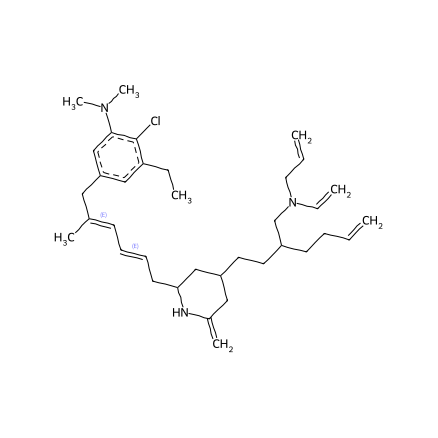 C=CCCC(CCC1CC(=C)NC(C/C=C/C=C(\C)Cc2cc(CC)c(Cl)c(N(C)C)c2)C1)CN(C=C)CC=C